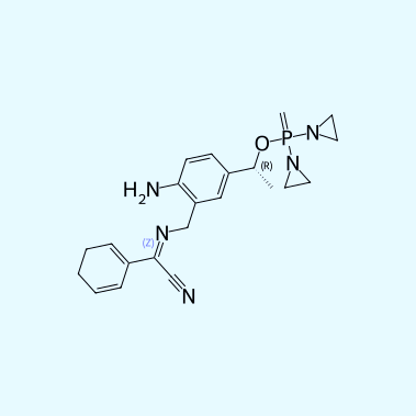 C=P(O[C@H](C)c1ccc(N)c(C/N=C(\C#N)C2=CCCC=C2)c1)(N1CC1)N1CC1